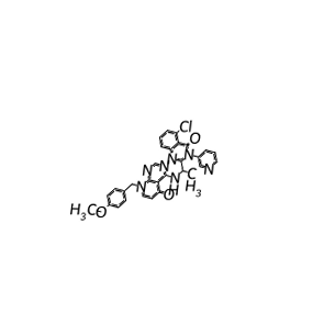 COc1ccc(Cn2ccc(=O)c3c(NC(C)c4nc5cccc(Cl)c5c(=O)n4-c4cccnc4)ncnc32)cc1